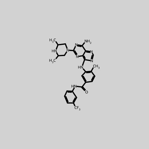 Cc1ccc(C(=O)Nc2cccc(C(F)(F)F)c2)cc1Nc1ncnc2c(N)nc(N3CC(C)NC(C)C3)nc12